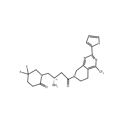 N[C@@H](CC(=O)N1CCc2c(nc(-c3cccs3)nc2C(F)(F)F)C1)CN1CC(F)(F)CCC1=O